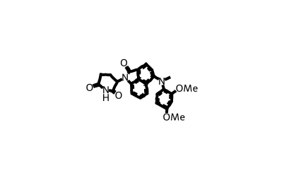 COc1ccc(N(C)c2ccc3c4c(cccc24)N(C2CCC(=O)NC2=O)C3=O)c(OC)c1